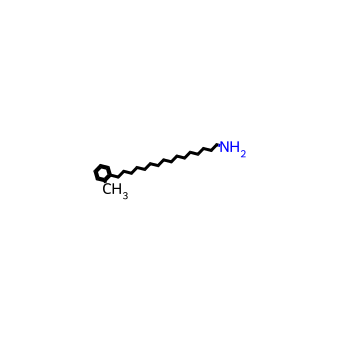 Cc1ccccc1CCCCCCCCCCCCCCCCN